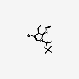 C=C/N=C1\C(=C/C)C(Br)=CN1C(=O)OC(C)(C)C